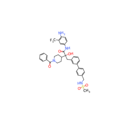 CS(=O)(=O)NCc1ccc(-c2cccc(CC(O)(C(=O)Nc3ccc(N)c(C(F)(F)F)c3)C3CCN(C(=O)c4ccccc4)CC3)c2)cc1